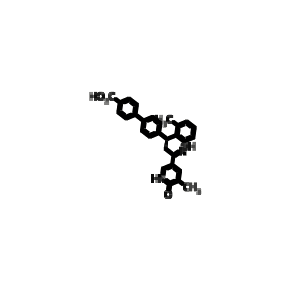 Cc1ccccc1[C@@H](C/C(=N\O)c1c[nH]c(=O)c(C)c1)c1ccc(-c2ccc(C(=O)O)cc2)cc1